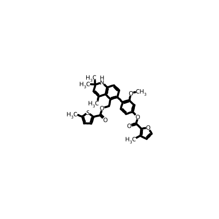 COc1cc(OC(=O)c2occc2C)ccc1-c1ccc2c(c1COC(=O)c1ccc(C)s1)C(C)=CC(C)(C)N2